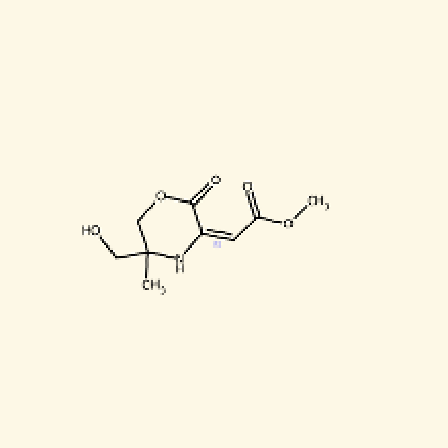 COC(=O)/C=C1/NC(C)(CO)COC1=O